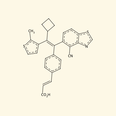 Cc1sccc1C(=C(c1ccc(C=CC(=O)O)cc1)c1ccc2scnc2c1C#N)C1CCC1